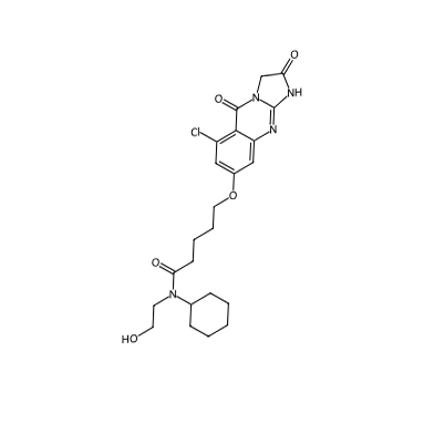 O=C1Cn2c(nc3cc(OCCCCC(=O)N(CCO)C4CCCCC4)cc(Cl)c3c2=O)N1